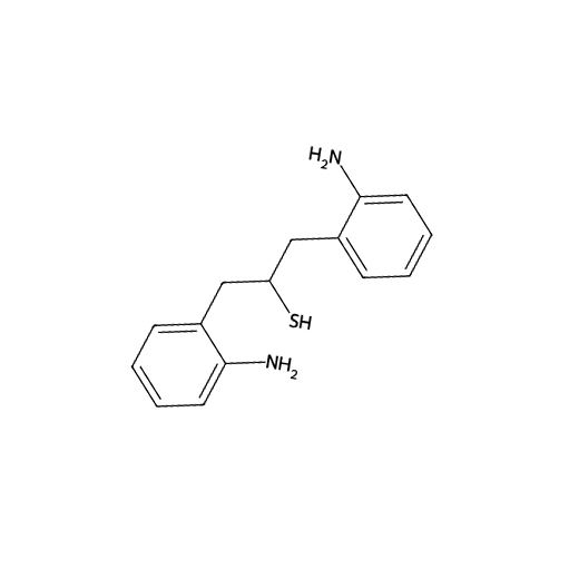 Nc1ccccc1CC(S)Cc1ccccc1N